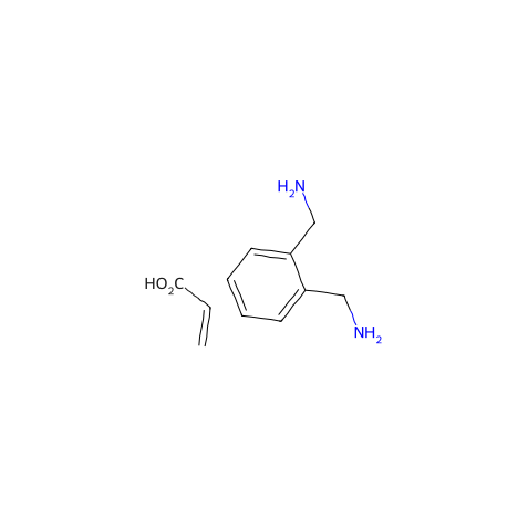 C=CC(=O)O.NCc1ccccc1CN